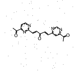 CC(=O)c1cc(/C=C/C(=O)/C=C/c2nccc(C(C)=O)n2)ncn1